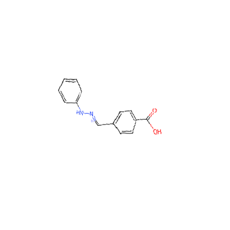 O=C(O)c1ccc(/C=N/Nc2ccccc2)cc1